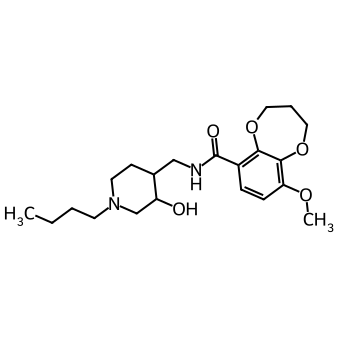 CCCCN1CCC(CNC(=O)c2ccc(OC)c3c2OCCCO3)C(O)C1